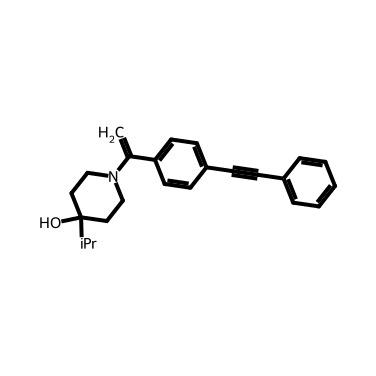 C=C(c1ccc(C#Cc2ccccc2)cc1)N1CCC(O)(C(C)C)CC1